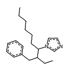 CCCCCCC(C(CC)Cc1ccccc1)n1ccnc1